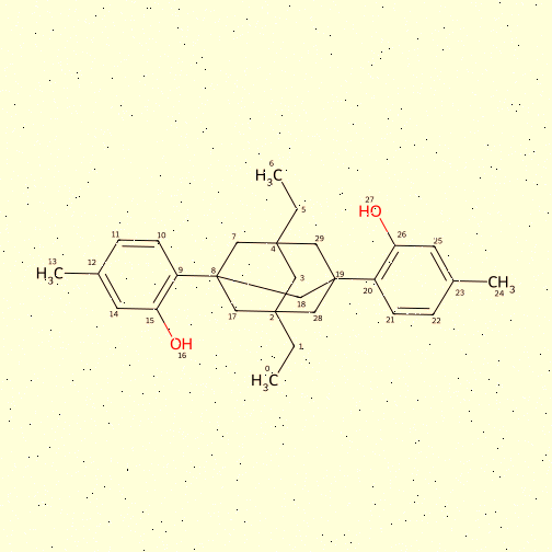 CCC12CC3(CC)CC(c4ccc(C)cc4O)(C1)CC(c1ccc(C)cc1O)(C2)C3